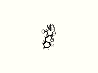 CCCNC(=O)c1cc2ccccc2oc1=O